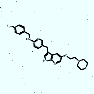 FC(F)(F)c1ccc(CNc2ccc(Cc3c[nH]c4ncc(OCCN5CCOCC5)cc34)cn2)cc1